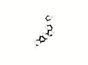 Fc1cc(OC(F)F)c(Cl)cc1Nc1ncnc2ccc(O[C@H]3CCNC3)nc12